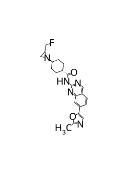 Cc1ncc(-c2ccc3cnc(NC(=O)[C@H]4CC[C@H](N5CC5CF)CC4)nc3c2)o1